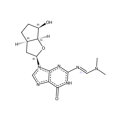 CN(C)/C=N/c1nc2c(ncn2[C@H]2C[C@H]3CC[C@@H](O)[C@H]3O2)c(=O)[nH]1